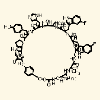 CC(=O)N[C@H]1CNC(=O)COc2ccc(cc2)C[C@@H](C(N)=O)NC(=O)[C@]2(C)CCCN2C(=O)[C@H](Cc2ccc(O)cc2)NC(=O)[C@H](Cc2cnc[nH]2)NC(=O)[C@@H](CC(=O)O)NC(=O)[C@H](Cc2c[nH]c3ccc(F)cc23)NC(=O)[C@H](Cc2c[nH]c3ccc(F)cc23)NC(=O)CNC(=O)[C@H](C)NC1=O